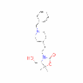 CC1(C)OC(=O)N(CCC2CCN(C[C@@H]3C=CC=CC3)CC2)[C@@H]1CO